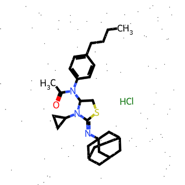 CCCCc1ccc(N(C(C)=O)C2CSC(=NC34CC5CC(CC(C5)C3)C4)N2C2CC2)cc1.Cl